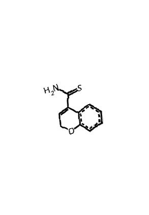 NC(=S)C1=CCOc2ccccc21